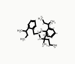 CCC(C)c1ccccc1CP(Oc1ccccc1C(C)CC)OC(C)(C)CCO